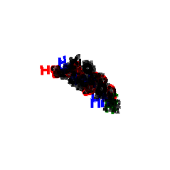 CC[C@H](C)[C@@H]([C@@H](CC(=O)N1CCC[C@H]1[C@H](OC)[C@@H](C)C(=O)N[C@@H](Cc1ccccc1)C(=O)N(c1ccc(NC(=O)C(F)(F)F)cc1)S(C)(=O)=O)OC)N(C)C(=O)[C@@H](NC(=O)O)C(C)C